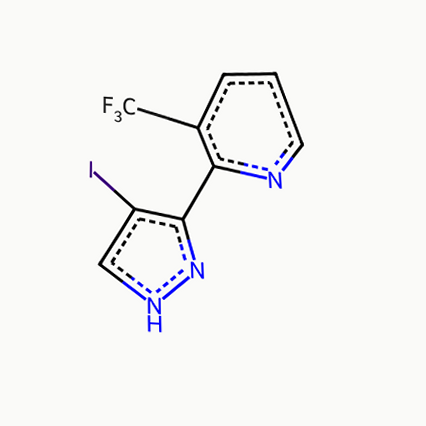 FC(F)(F)c1cccnc1-c1n[nH]cc1I